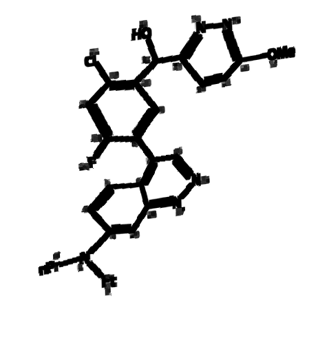 CCCN(CC)c1ccc2c(-c3cc(C(O)c4ccc(OC)nn4)c(Cl)cc3F)cnnc2c1